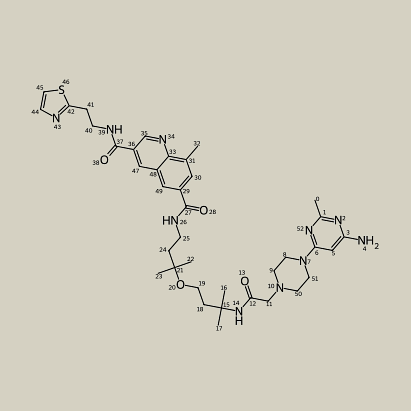 Cc1nc(N)cc(N2CCN(CC(=O)NC(C)(C)CCOC(C)(C)CCNC(=O)c3cc(C)c4ncc(C(=O)NCCc5nccs5)cc4c3)CC2)n1